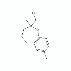 Cc1ccc2c(c1)CCCC(C)(CO)O2